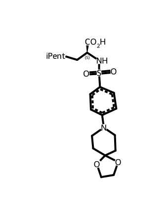 CCCC(C)C[C@H](NS(=O)(=O)c1ccc(N2CCC3(CC2)OCCO3)cc1)C(=O)O